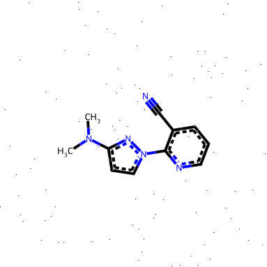 CN(C)c1ccn(-c2ncccc2C#N)n1